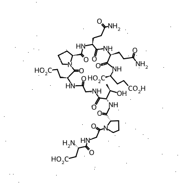 C[C@@H](O)[C@H](NC(=O)[C@@H]1CCCN1C(=O)CNC(=O)[C@@H](N)CC(=O)O)C(=O)NCC(=O)N[C@@H](CCC(=O)O)C(=O)N1CCC[C@H]1C(=O)N[C@@H](CCC(N)=O)C(=O)N[C@@H](CCC(N)=O)C(=O)N[C@@H](CCC(=O)O)C(=O)O